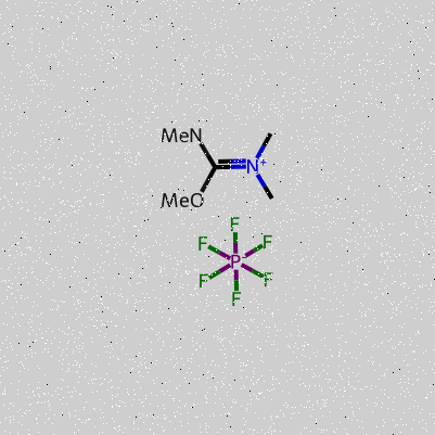 CNC(OC)=[N+](C)C.F[P-](F)(F)(F)(F)F